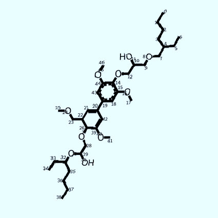 CCCCC(CC)COCC(O)COc1c(OC)cc(C2=CC(COC)C(OCC(O)OC(CC)CCCC)C(OC)=C2)cc1OC